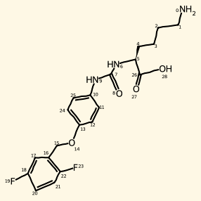 NCCCC[C@H](NC(=O)Nc1ccc(OCc2cc(F)ccc2F)cc1)C(=O)O